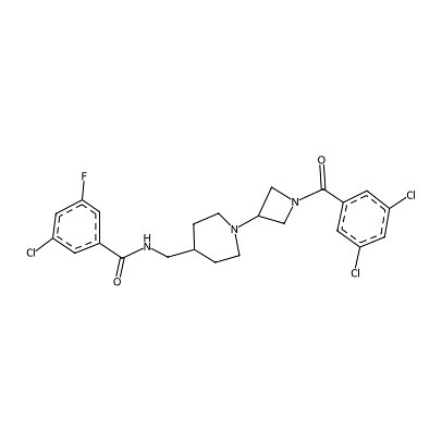 O=C(NCC1CCN(C2CN(C(=O)c3cc(Cl)cc(Cl)c3)C2)CC1)c1cc(F)cc(Cl)c1